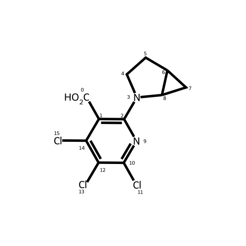 O=C(O)c1c(N2CCC3CC32)nc(Cl)c(Cl)c1Cl